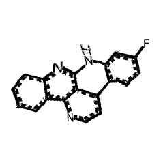 Fc1ccc2c(c1)Nc1nc3ccccc3c3nccc-2c13